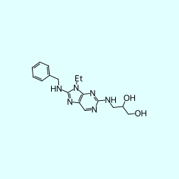 CCn1c(NCc2ccccc2)nc2cnc(NCC(O)CO)nc21